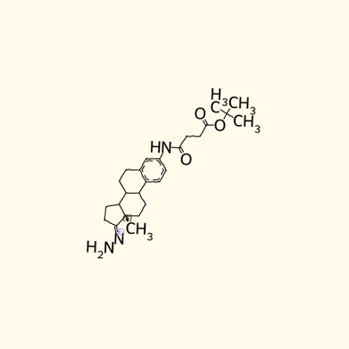 CC(C)(C)OC(=O)CCC(=O)Nc1ccc2c(c1)CCC1C2CC[C@]2(C)/C(=N/N)CCC12